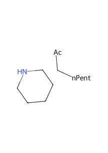 C1CCNCC1.CCCCCCC(C)=O